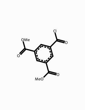 COC(=O)c1cc(C(=O)Cl)cc(C(=O)OC)c1